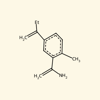 C=C(CC)c1ccc(C)c(C(=C)N)c1